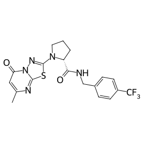 Cc1cc(=O)n2nc(N3CCC[C@@H]3C(=O)NCc3ccc(C(F)(F)F)cc3)sc2n1